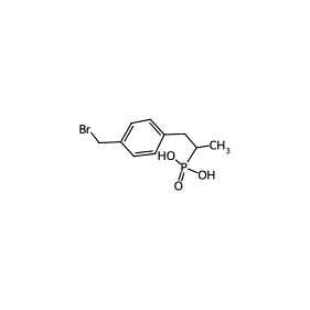 CC(Cc1ccc(CBr)cc1)P(=O)(O)O